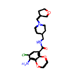 Nc1c(Cl)cc(C(=O)NCC2CCN(CC3CCOC3)CC2)c2c1OCCO2